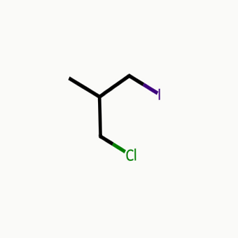 CC(CCl)CI